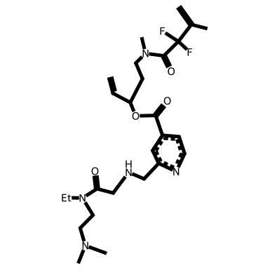 C=CC(CCN(C)C(=O)C(F)(F)C(=C)C)OC(=O)c1ccnc(CNCC(=O)N(CC)CCN(C)C)c1